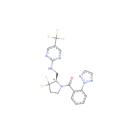 O=C(c1ccccc1-n1nccn1)N1CCC(F)(F)[C@H]1CNc1ncc(C(F)(F)F)cn1